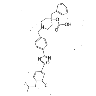 CC(C)Cc1ccc(-c2nc(-c3ccc(CN4CCC(Cc5ccccc5)(OC(=O)O)CC4)cc3)no2)cc1Cl